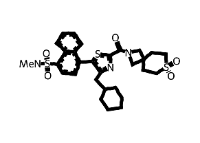 CNS(=O)(=O)c1ccc(-c2sc(C(=O)N3CC4(CCS(=O)(=O)CC4)C3)nc2CC2CCCCC2)c2ccccc12